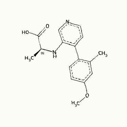 COc1ccc(-c2ccncc2N[C@@H](C)C(=O)O)c(C)c1